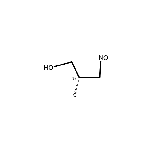 C[C@H](CO)CN=O